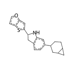 c1cc2sc(C3Cc4ccc(C5CCC6CC6C5)cc4N3)cc2o1